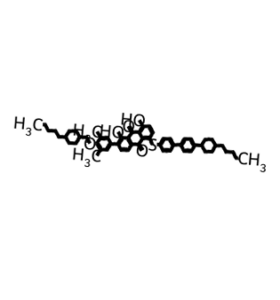 CCCCCC1CCC(COc2c(C)cc(-c3ccc4c(c3O)C(=O)c3c(O)ccc(Sc5ccc(-c6ccc(C7CCC(CCCCC)CC7)cc6)cc5)c3C4=O)cc2C)CC1